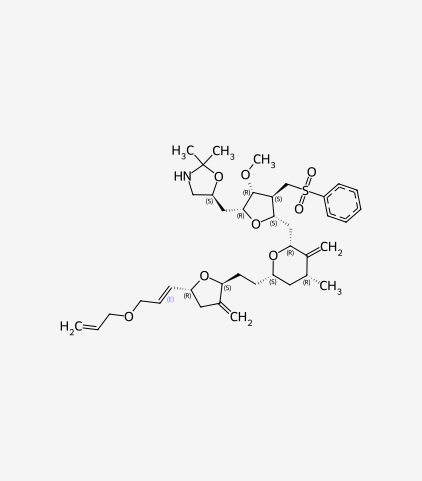 C=CCOC/C=C/[C@H]1CC(=C)[C@H](CC[C@H]2C[C@@H](C)C(=C)[C@@H](C[C@@H]3O[C@H](C[C@H]4CNC(C)(C)O4)[C@H](OC)[C@H]3CS(=O)(=O)c3ccccc3)O2)O1